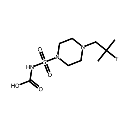 CC(C)(F)CN1CCN(S(=O)(=O)NC(=O)O)CC1